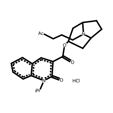 CC(=O)CCCN1C2CCC1CC(OC(=O)c1cc3ccccc3n(C(C)C)c1=O)C2.Cl